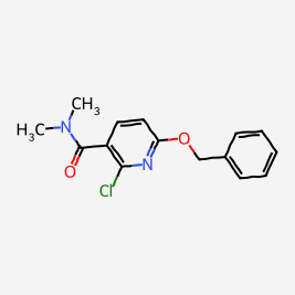 CN(C)C(=O)c1ccc(OCc2ccccc2)nc1Cl